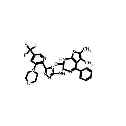 Cc1sc2c(c1C)C(c1ccccc1)=N[C@H](Nc1nnc(-c3ncc(C(F)(F)F)cc3N3CCOCC3)o1)C(=O)N2